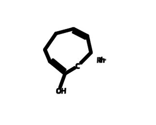 O/C1=C/CC/C=C\CC1.[Rh]